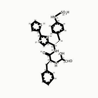 O=CC(O)N[C@@H](Cc1ccccc1)C(=O)N[C@@H](Cc1ccc(NS(=O)(=O)O)cc1)c1csc(-c2cccs2)n1